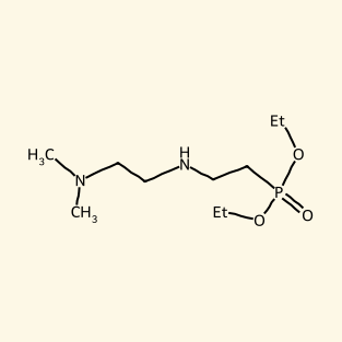 CCOP(=O)(CCNCCN(C)C)OCC